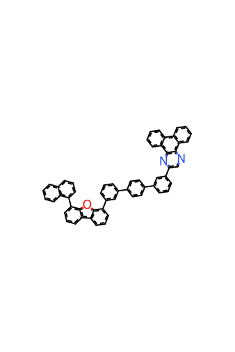 c1cc(-c2ccc(-c3cccc(-c4cccc5c4oc4c(-c6cccc7ccccc67)cccc45)c3)cc2)cc(-c2cnc3c4ccccc4c4ccccc4c3n2)c1